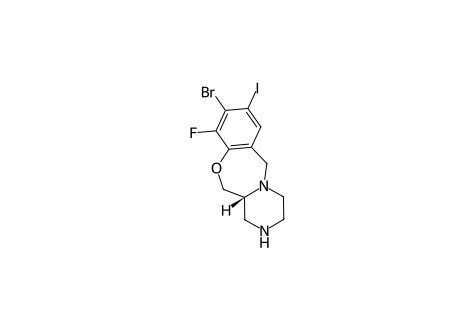 Fc1c(Br)c(I)cc2c1OC[C@H]1CNCCN1C2